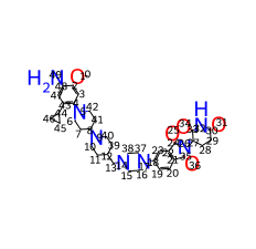 COc1cc(N2CCC(N3CCC(CN4CCN(c5ccc6c(c5)C(=O)N(C5CCC(=O)NC5=O)C6=O)CC4)CC3)CC2)c(C2CC2)cc1N